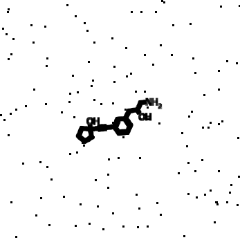 NCC(O)Cc1cccc(C#CC2(O)CCCC2)c1